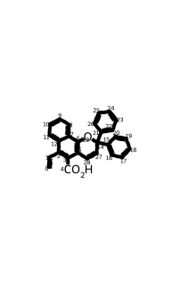 C=Cc1c(C(=O)O)c2c(c3ccccc13)OC(c1ccccc1)(c1ccccc1)C=C2